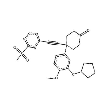 COc1ccc(C2(C#Cc3ccnc(S(C)(=O)=O)n3)CCC(=O)CC2)cc1OC1CCCC1